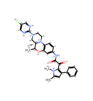 Cc1cc(-c2ccccc2)c(C(=O)C(=O)Nc2ccc3c(c2)OC(C)[C@H]2CN(c4ncc(F)cn4)CCN32)n1C